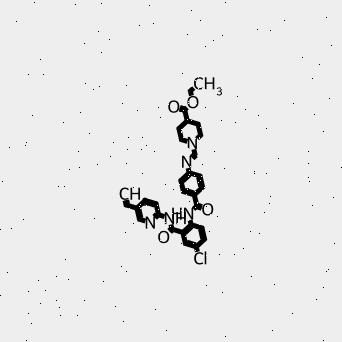 C=Cc1ccc(NC(=O)c2cc(Cl)ccc2NC(=O)c2ccc(N=CN3CCC(C(=O)OCC)CC3)cc2)nc1